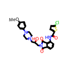 COc1ccc(N2CCN(CC(O)CN3C(=O)c4cccc(NC(=O)c5ccc(Cl)s5)c4C3=O)CC2)cc1